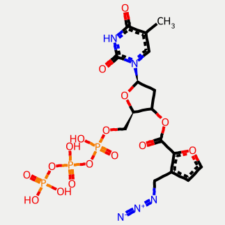 Cc1cn([C@H]2CC(OC(=O)c3occc3CN=[N+]=[N-])[C@@H](COP(=O)(O)OP(=O)(O)OP(=O)(O)O)O2)c(=O)[nH]c1=O